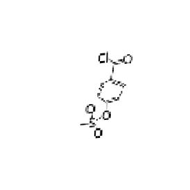 CS(=O)(=O)Oc1ccc(C(=O)Cl)cc1